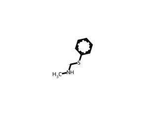 CN[CH]Sc1ccccc1